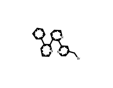 BrCc1ccnc(-c2ncccc2-c2ncccc2-c2ccccc2)c1